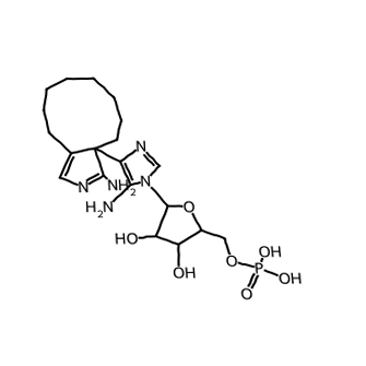 NC1=NC=C2CCCCCCCCC21c1ncn(C2OC(COP(=O)(O)O)C(O)C2O)c1N